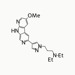 CCN(CC)CCCn1cc(-c2cc3c(cn2)[nH]c2ncc(OC)cc23)cn1